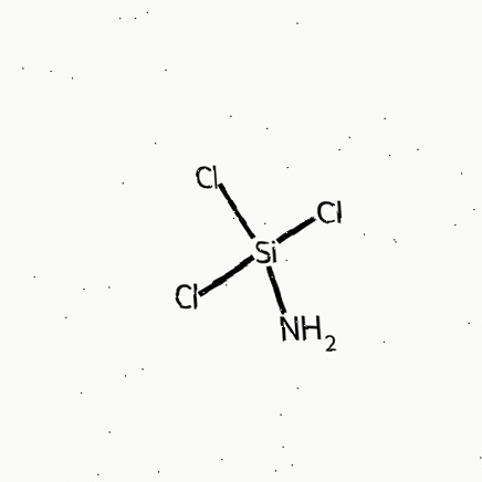 N[Si](Cl)(Cl)Cl